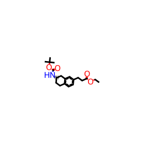 CCOC(=O)CCc1ccc2c(c1)C[C@@H](NC(=O)OC(C)(C)C)CC2